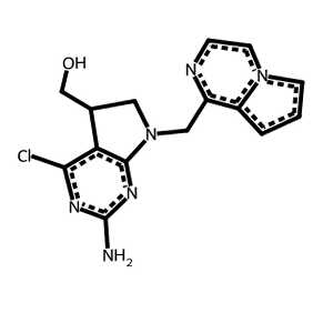 Nc1nc(Cl)c2c(n1)N(Cc1nccn3cccc13)CC2CO